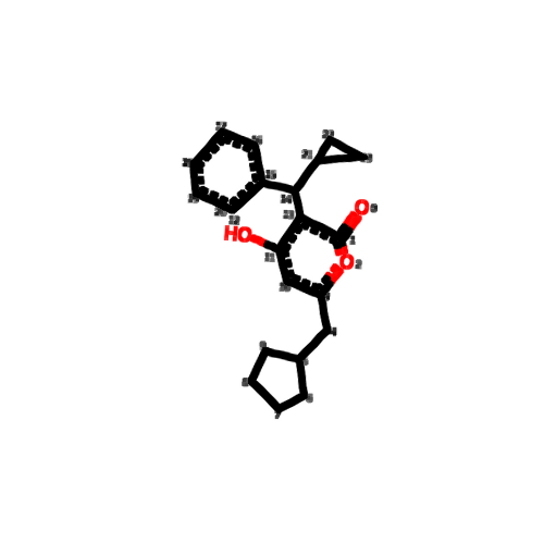 O=c1oc(CC2CCCC2)cc(O)c1C(c1ccccc1)C1CC1